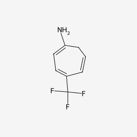 NC1=CC=C(C(F)(F)F)C=CC1